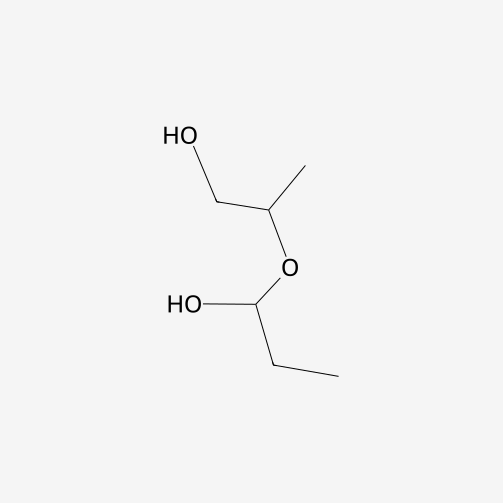 CCC(O)OC(C)CO